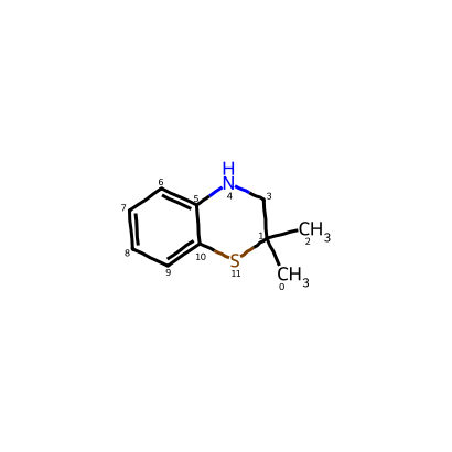 CC1(C)CNc2ccccc2S1